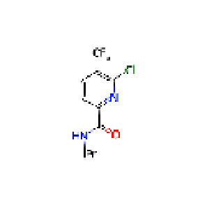 CC(C)NC(=O)c1ccc(C(F)(F)F)c(Cl)n1